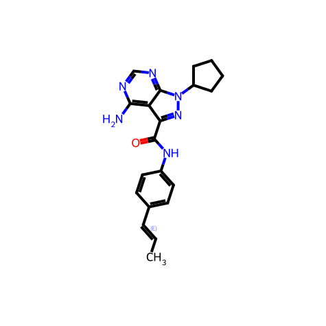 C/C=C/c1ccc(NC(=O)c2nn(C3CCCC3)c3ncnc(N)c23)cc1